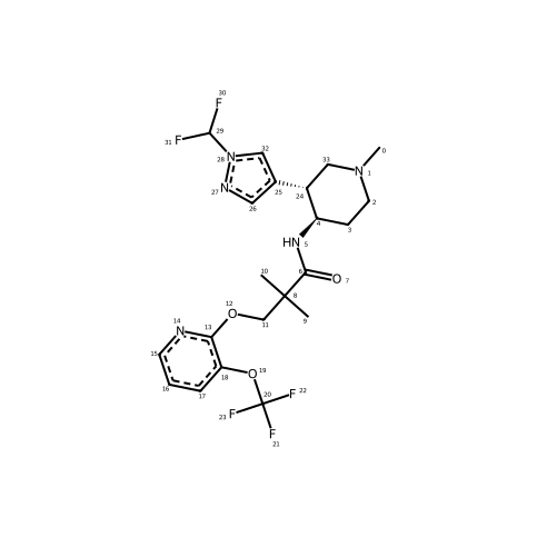 CN1CC[C@@H](NC(=O)C(C)(C)COc2ncccc2OC(F)(F)F)[C@H](c2cnn(C(F)F)c2)C1